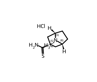 CN1[C@@H]2CC[C@H]1C[C@H](C(N)=S)C2.Cl